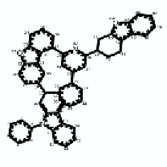 C1=c2c(n(-c3ccccc3)c3ccccc23)=CC(c2ccc3oc4cccc(-c5cc(-c6ccccc6)cc(C6CCc7c(oc8ccccc78)C6)n5)c4c3c2)C1